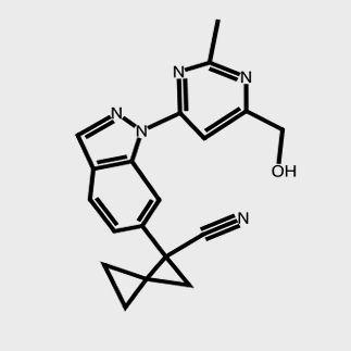 Cc1nc(CO)cc(-n2ncc3ccc(C4(C#N)CC45CC5)cc32)n1